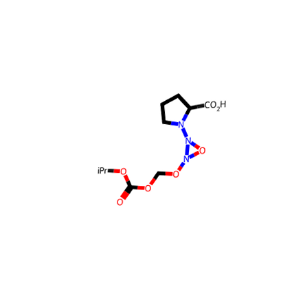 CC(C)OC(=O)OCOn1on1N1CCCC1C(=O)O